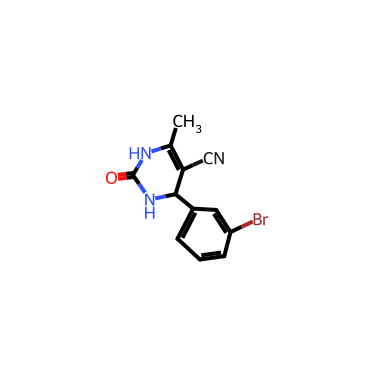 CC1=C(C#N)C(c2cccc(Br)c2)NC(=O)N1